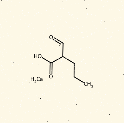 CCCC(C=O)C(=O)O.[CaH2]